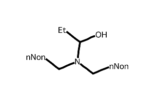 CCCCCCCCCCN(CCCCCCCCCC)C(O)CC